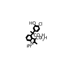 Cc1c(C(=O)O)c2c(C(C)(C(=O)O)c3ccc(Cl)c(O)c3)cccc2n1C(C)C